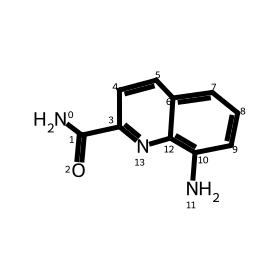 NC(=O)c1ccc2cccc(N)c2n1